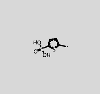 [CH2]c1ccc(P(=O)(O)O)s1